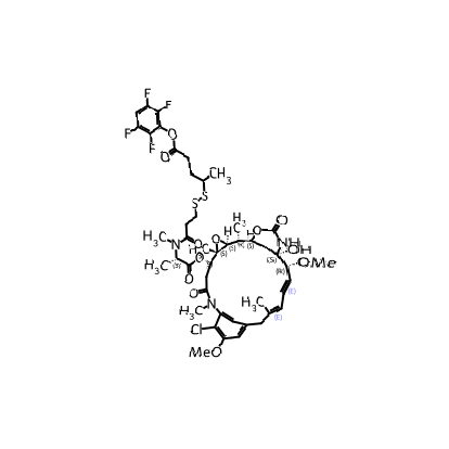 COc1cc2cc(c1Cl)N(C)C(=O)C[C@H](OC(=O)[C@H](C)N(C)C(=O)CCSSC(C)CCC(=O)Oc1c(F)c(F)cc(F)c1F)[C@]1(C)O[C@H]1[C@H](C)[C@@H]1C[C@@](O)(NC(=O)O1)[C@H](OC)/C=C/C=C(\C)C2